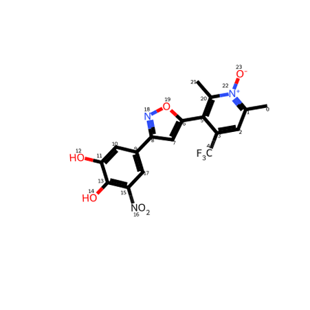 Cc1cc(C(F)(F)F)c(-c2cc(-c3cc(O)c(O)c([N+](=O)[O-])c3)no2)c(C)[n+]1[O-]